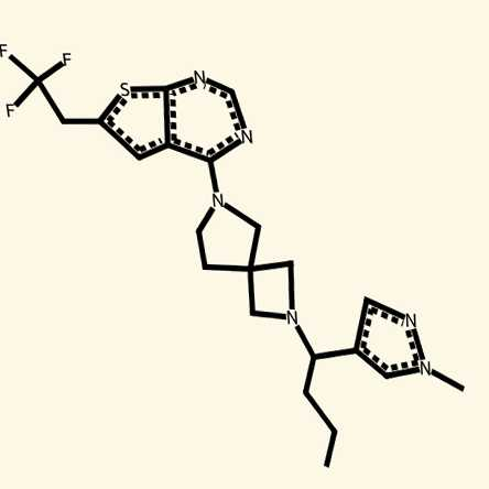 CCCC(c1cnn(C)c1)N1CC2(CCN(c3ncnc4sc(CC(F)(F)F)cc34)C2)C1